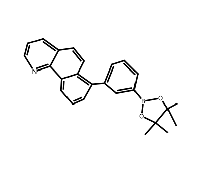 CC1(C)OB(c2cccc(-c3cccc4c3ccc3cccnc34)c2)OC1(C)C